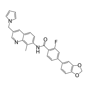 Cc1c(NC(=O)c2ccc(-c3ccc4c(c3)OCO4)cc2F)ccc2cc(Cn3cccc3)cnc12